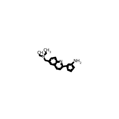 CCN(CC)Cc1ccc2nc(-c3cccc(N)c3)ccc2c1